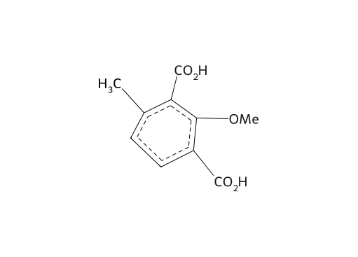 COc1c(C(=O)O)ccc(C)c1C(=O)O